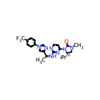 CC(C)[C@H]1CN(C)C(=O)N1c1ccnc(N[C@@H](C)c2cn(-c3ccc(C(F)(F)F)cc3)cn2)n1